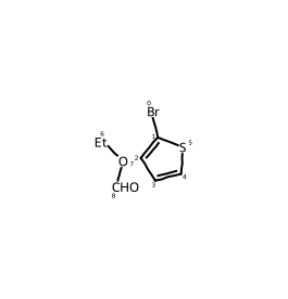 Brc1cccs1.CCOC=O